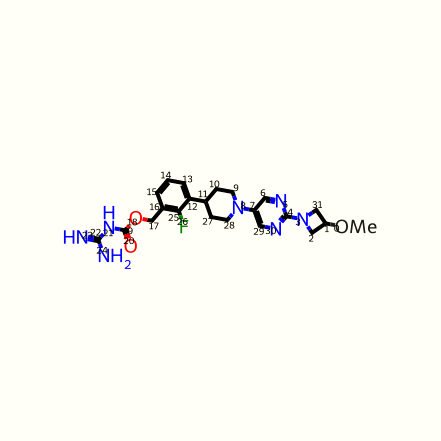 COC1CN(c2ncc(N3CCC(c4cccc(COC(=O)NC(=N)N)c4F)CC3)cn2)C1